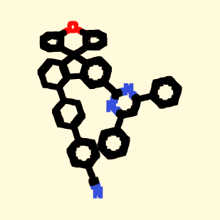 N#Cc1ccc(C2=CCC(C3CC=CC4=C3c3cc(-c5nc(-c6ccccc6)cc(-c6ccccc6)n5)ccc3C43c4ccccc4Oc4ccccc43)C=C2)cc1